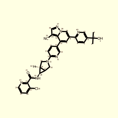 CC(C)(O)c1ccc(-c2cc(-c3ccc(N4CC5[C@@H](NC(=O)c6ncccc6Cl)[C@H]5C4)nc3)c3c(C#N)cnn3c2)nc1